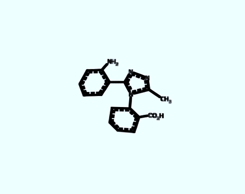 Cc1nnc(-c2ccccc2N)n1-c1ccccc1C(=O)O